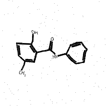 Cc1ccc(O)c(C(=O)Nc2ccccc2)c1